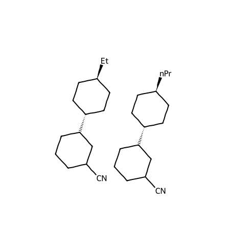 CCC[C@H]1CC[C@H](C2CCCC(C#N)C2)CC1.CC[C@H]1CC[C@H](C2CCCC(C#N)C2)CC1